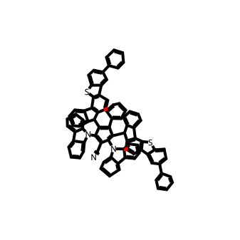 N#Cc1c(-n2c3ccccc3c3ccccc32)c(C2c3ccccc3-c3c2ccc2c3sc3ccc(-c4ccccc4)cc32)c(-c2ccccc2)c(C2c3ccccc3-c3c2ccc2c3sc3ccc(-c4ccccc4)cc32)c1-n1c2ccccc2c2ccccc21